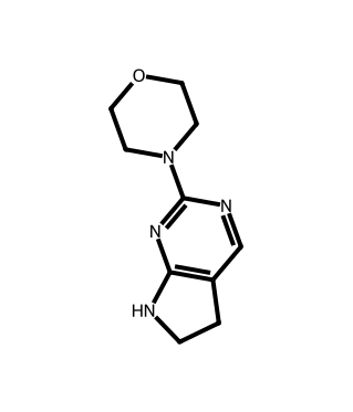 c1nc(N2CCOCC2)nc2c1CCN2